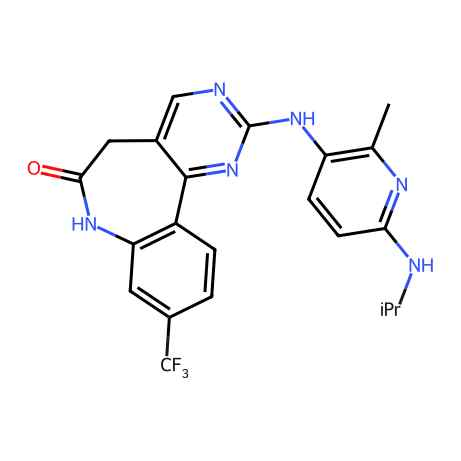 Cc1nc(NC(C)C)ccc1Nc1ncc2c(n1)-c1ccc(C(F)(F)F)cc1NC(=O)C2